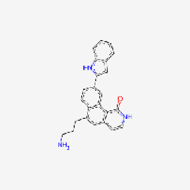 NCCCc1cc2cc[nH]c(=O)c2c2cc(-c3cc4ccccc4[nH]3)ccc12